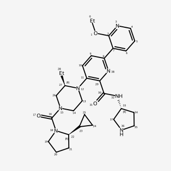 CCOc1ncccc1-c1ccc(N2CCN(C(=O)N3CCC[C@@H]3C3CC3)C[C@H]2CC)c(C(=O)N[C@@H]2CCNC2)n1